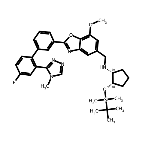 COc1cc(CN[C@@H]2CCC[C@@H]2O[Si](C)(C)C(C)(C)C)cc2nc(-c3cccc(-c4ccc(F)cc4-c4nncn4C)c3)oc12